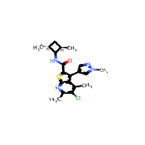 Cc1nc2sc(C(=O)NC3[C@H](C)C[C@H]3C)c(-c3cnn(C)c3)c2c(C)c1Cl